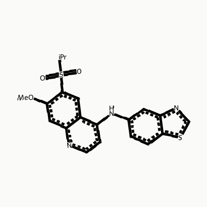 COc1cc2nccc(Nc3ccc4scnc4c3)c2cc1S(=O)(=O)C(C)C